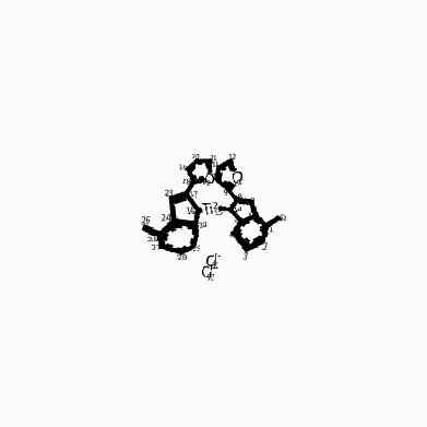 Cc1cccc2c1C=C(c1ccco1)[CH]2[Ti+2][CH]1C(c2ccco2)=Cc2c(C)cccc21.[Cl-].[Cl-]